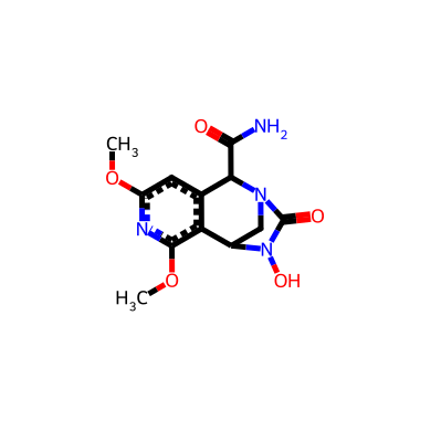 COc1cc2c(c(OC)n1)C1CN(C(=O)N1O)C2C(N)=O